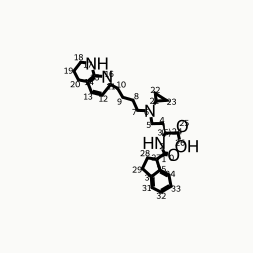 O=C(N[C@@H](CCN(CCCCc1ccc2c(n1)NCCC2)C1CC1)C(=O)O)C1CCc2ccccc21